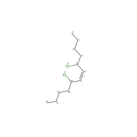 CCCCC(Cl)/C=C\C(Cl)CCCC